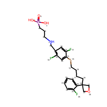 O=P(O)(O)CCCNCc1cc(F)c(SCCCCC2(c3ccccc3F)COC2)cc1F